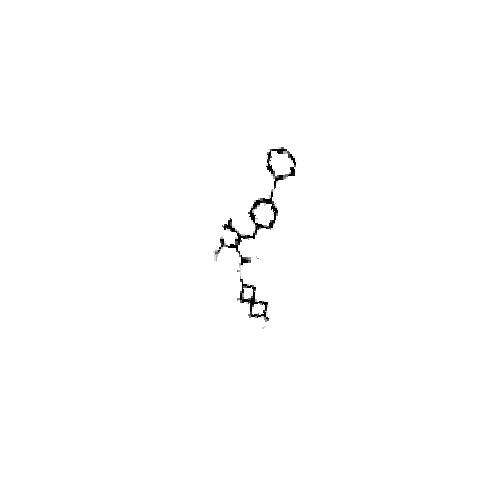 [2H]C1CC2(C1)CC(NC(=O)c1c(Cl)sc(Cl)c1Cc1ccc(-c3ccccc3)cc1)C2